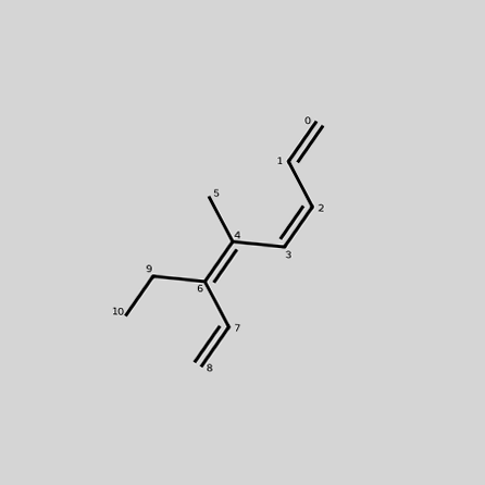 C=C/C=C\C(C)=C(/C=C)CC